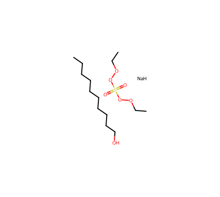 CCCCCCCCCCO.CCOOS(=O)(=O)OOCC.[NaH]